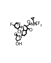 O=C(N[C@H](C1CC1)C(F)(F)F)c1cn(-c2ncc(F)cc2Cl)c2nc(N3C[C@@H](O)CC3=O)ccc2c1=O